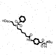 CCCCCCCCCCCCN(CCCCCC(=O)Nc1ccc(S(=O)(=O)NCCCC)cc1)S(=O)(=O)c1ccccc1